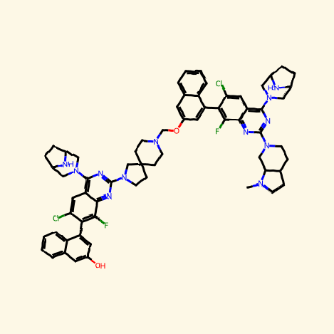 CN1CCC2CCN(c3nc(N4CC5CCC(C4)N5)c4cc(Cl)c(-c5cc(OCN6CCC7(CC6)CCN(c6nc(N8CC9CCC(C8)N9)c8cc(Cl)c(-c9cc(O)cc%10ccccc9%10)c(F)c8n6)C7)cc6ccccc56)c(F)c4n3)CC21